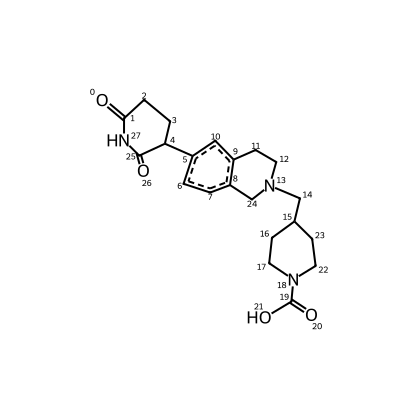 O=C1CCC(c2ccc3c(c2)CCN(CC2CCN(C(=O)O)CC2)C3)C(=O)N1